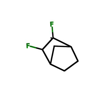 F[C]1C2CCC(C2)C1F